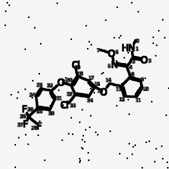 CNC(=O)C(=NOC)c1ccccc1COc1cc(Cl)c(Oc2ccc(C(F)(F)F)cc2)c(Cl)c1